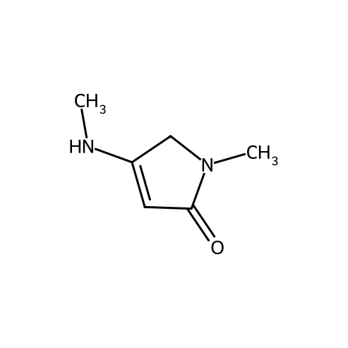 CNC1=CC(=O)N(C)C1